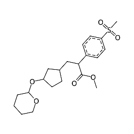 COC(=O)C(CC1CCC(OC2CCCCO2)C1)c1ccc(S(C)(=O)=O)cc1